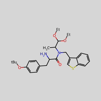 CCOC(OCC)C(C)N(Cc1csc2ccccc12)C(=O)C(N)Cc1ccc(OC(C)(C)C)cc1